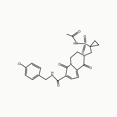 CC(=O)NS(=O)(=O)C1(CN2CCn3c(ccc(C(=O)NCc4ccc(Cl)cc4)c3=O)C2=O)CC1